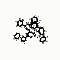 c1ccc(-c2cccc(-c3cnc(-n4c5ccccc5c5ccc6c7ccccc7oc6c54)c(-c4nc(-c5ccccc5)nc(-c5ccccc5)n4)c3)c2)cc1